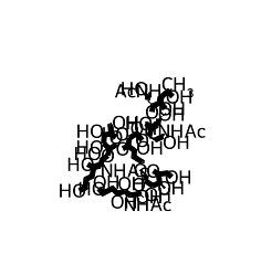 CC(=O)N/C(=C(/O)[C@@H](CCO)O[C@H](O)/C(NC(C)=O)=C(\O)[C@@H](CCO)O[C@H](O)C(O)C(O[C@H]1OC(CO)[C@@H](O)C(O)C1O[C@H](O)/C(NC(C)=O)=C(\O)[C@H](O)CCO)[C@H](O)CCO[C@H]1OC(CO)[C@@H](O)C(O)C1O[C@H](O)C(NC(C)=O)C(O)[C@H](O)CCO)[C@H](C)O